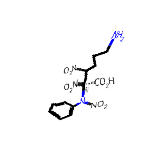 NCCCC([N+](=O)[O-])[C@@](C(=O)O)(N(c1ccccc1)[N+](=O)[O-])[N+](=O)[O-]